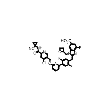 N#CC1(NC(=O)c2cc(Cl)c(COc3cccc(-c4cc(F)c(Cc5nc6c(F)cc(C(=O)O)cc6n5CC5CCO5)cc4F)n3)cn2)CC1